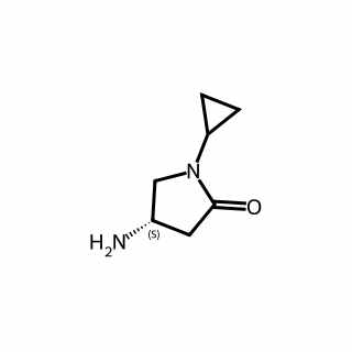 N[C@H]1CC(=O)N(C2CC2)C1